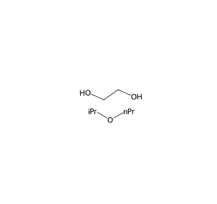 CCCOC(C)C.OCCO